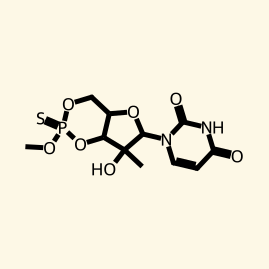 COP1(=S)OCC2OC(n3ccc(=O)[nH]c3=O)C(C)(O)C2O1